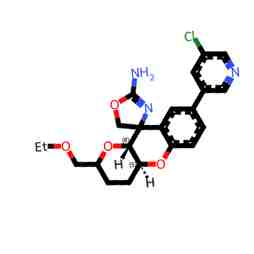 CCOCC1CC[C@@H]2Oc3ccc(-c4cncc(Cl)c4)cc3C3(COC(N)=N3)[C@H]2O1